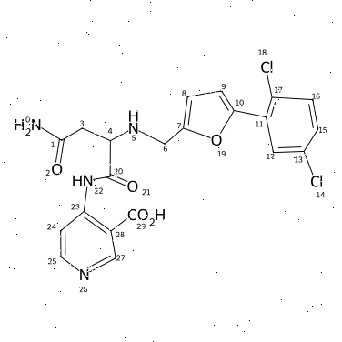 NC(=O)CC(NCc1ccc(-c2cc(Cl)ccc2Cl)o1)C(=O)Nc1ccncc1C(=O)O